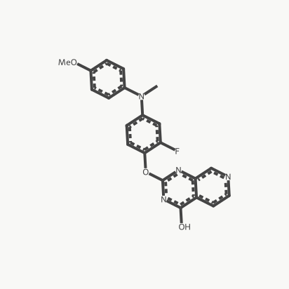 COc1ccc(N(C)c2ccc(Oc3nc(O)c4ccncc4n3)c(F)c2)cc1